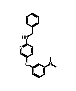 CN(C)c1cccc(Oc2ccc(NCc3ccccc3)nc2)c1